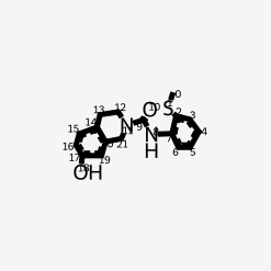 CSc1ccccc1NC(=O)N1CCc2ccc(O)cc2C1